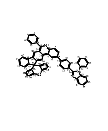 c1ccc(-c2nc3ccc(-c4ccc(-c5nc6ccccc6n5-c5ccccc5)cc4)cc3c3cc4c(cc23)-c2ccccc2C42c3ccccc3Oc3ccccc32)cc1